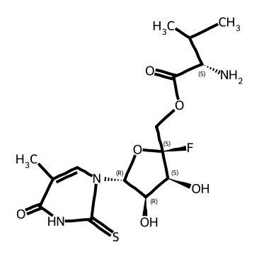 Cc1cn([C@@H]2O[C@](F)(COC(=O)[C@@H](N)C(C)C)[C@@H](O)[C@H]2O)c(=S)[nH]c1=O